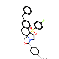 O=C(O)[C@H]1CC[C@H](C(=O)N2CC[C@@]3(S(=O)(=O)c4ccc(F)cc4)c4ccc(Cc5ccccc5)cc4CC[C@@H]23)CC1